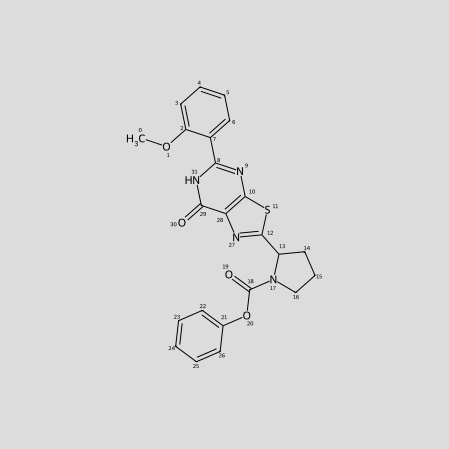 COc1ccccc1-c1nc2sc(C3CCCN3C(=O)Oc3ccccc3)nc2c(=O)[nH]1